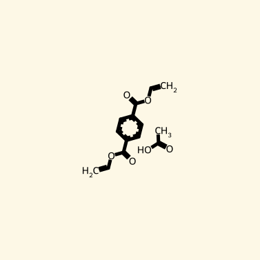 C=COC(=O)c1ccc(C(=O)OC=C)cc1.CC(=O)O